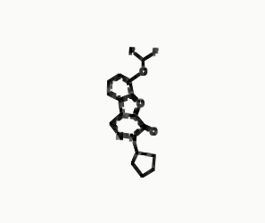 O=c1c2oc3c(OC(F)F)cccc3c2cnn1C1CCCC1